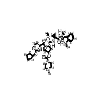 C=C[C@@H]1C[C@]1(NC(=O)[C@@H]1C[C@@H](OC(=O)N2CCN(C)CC2)CN1C(=O)[C@H](CC)NC(=O)OC1CCCC1)C(=O)NS(=O)(=O)c1ccccc1NC